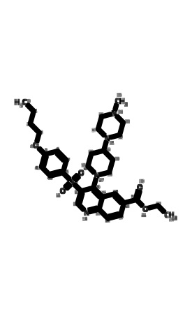 CCCCOc1ccc(S(=O)(=O)c2cnc3ccc(C(=O)OCC)cc3c2N2CCC(N3CCN(C)CC3)CC2)cc1